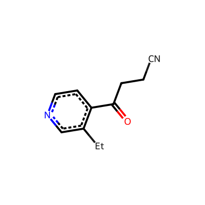 CCc1cnccc1C(=O)CCC#N